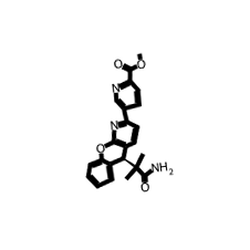 COC(=O)c1ccc(-c2ccc3c(n2)Oc2ccccc2[C@@H]3C(C)(C)C(N)=O)cn1